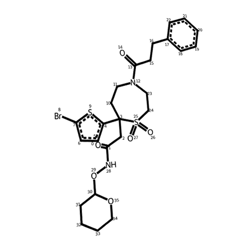 O=C(CC1(c2ccc(Br)s2)CCN(C(=O)CCc2ccccc2)CCS1(=O)=O)NOC1CCCCO1